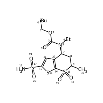 CCC(C)COC(=O)N(CC)[C@H]1CC(C)S(=O)(=O)c2sc(S(N)(=O)=O)cc21